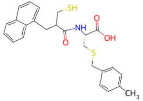 Cc1ccc(CSC[C@H](NC(=O)C(CS)Cc2cccc3ccccc23)C(=O)O)cc1